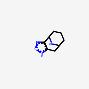 C1CC2Cc3[nH]nnc3C(C1)N2